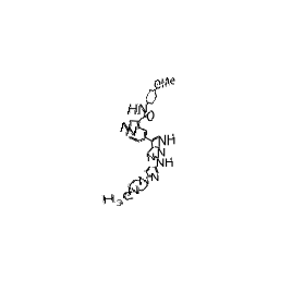 CO[C@H]1CC[C@H](NC(=O)c2cnn3ccc(-c4c[nH]c5nc(Nc6ccc(N7CCN(C)CC7)nc6)ncc45)cc23)CC1